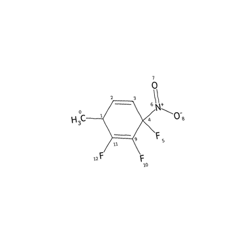 CC1C=CC(F)([N+](=O)[O-])C(F)=C1F